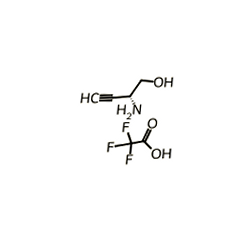 C#C[C@@H](N)CO.O=C(O)C(F)(F)F